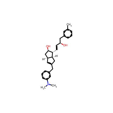 Cc1cccc(C[C@@H](O)/C=C/[C@@H]2[C@H]3CC(Cc4cccc(N(C)C)c4)=C[C@H]3C[C@H]2O)c1